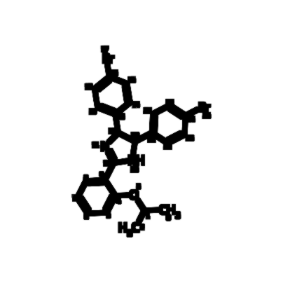 CC(C)Oc1ccccc1C1=NC(c2ccc(Br)cc2)C(c2ccc(Br)cc2)N1